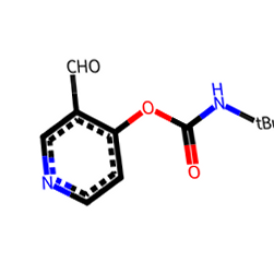 CC(C)(C)NC(=O)Oc1ccncc1C=O